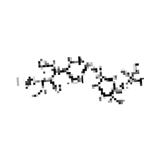 CC[C@@](C)(N)C(=O)N(C=O)c1cnc(Oc2ccc(C)c(OC(F)(F)F)c2)nc1